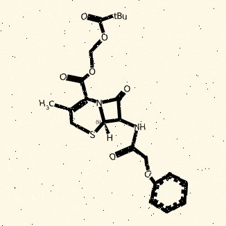 CC1=C(C(=O)OCOC(=O)C(C)(C)C)N2C(=O)C(NC(=O)COc3ccccc3)[C@@H]2SC1